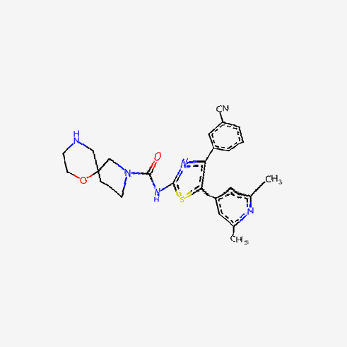 Cc1cc(-c2sc(NC(=O)N3CCC4(CNCCO4)C3)nc2-c2cccc(C#N)c2)cc(C)n1